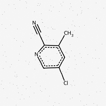 Cc1cc(Cl)cnc1C#N